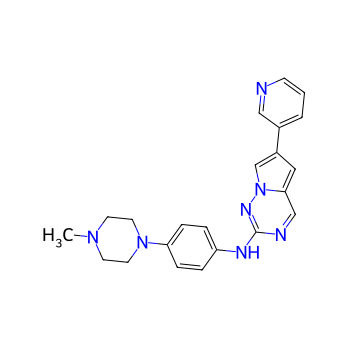 CN1CCN(c2ccc(Nc3ncc4cc(-c5cccnc5)cn4n3)cc2)CC1